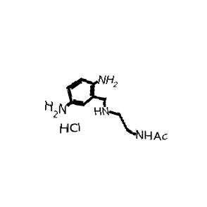 CC(=O)NCCNCc1cc(N)ccc1N.Cl